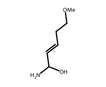 COCC/C=C/C(N)O